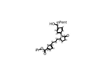 CCCCC[C@@H](O)c1ccc(N2C(=O)CCC2CCCc2ccc(C(=O)OC(C)C)s2)cc1